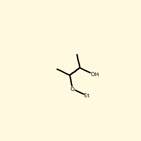 CCOC(C)C(C)O